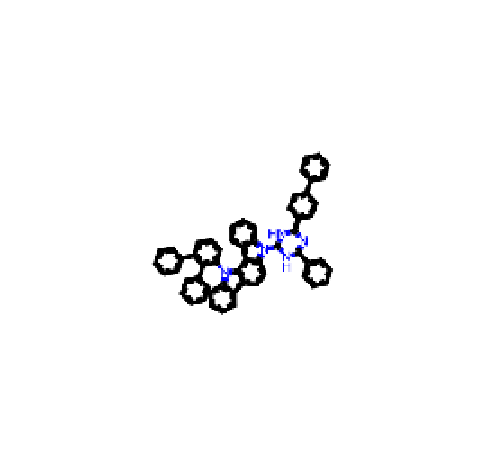 c1ccc(C2=NC(c3ccc(-c4ccccc4)cc3)NC(n3c4ccccc4c4c5c(ccc43)c3ccccc3n5-c3cccc(-c4ccccc4)c3-c3ccccc3)N2)cc1